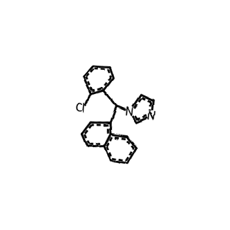 Clc1ccccc1C(c1cccc2ccccc12)n1ccnc1